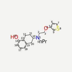 CCCN(CCOc1ccsc1)C1CCc2c(O)cccc2C1